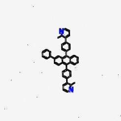 Cc1ncccc1-c1ccc(-c2c3ccccc3c(-c3ccc(-c4cccnc4C)cc3)c3cc(-c4ccccc4)ccc23)cc1